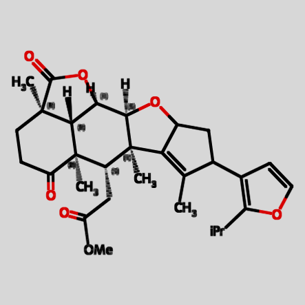 COC(=O)C[C@H]1[C@]2(C)C3=C(C)C(c4ccoc4C(C)C)CC3O[C@@H]2[C@@H]2OC(=O)[C@]3(C)CCC(=O)[C@@]1(C)[C@@H]23